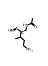 CC(=O)NC[C@H](N=N)C(C)CCN